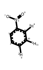 [2H]c1ccc([N+](=O)[O-])c([2H])c1[2H]